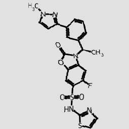 C[C@H](c1cccc(-c2ccn(C)n2)c1)n1c(=O)oc2cc(S(=O)(=O)Nc3nccs3)c(F)cc21